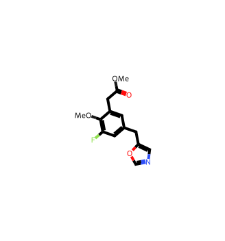 COC(=O)Cc1cc(Cc2cnco2)cc(F)c1OC